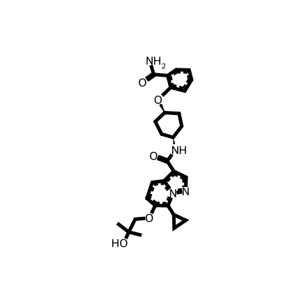 CC(C)(O)COc1ccc2c(C(=O)N[C@H]3CC[C@H](Oc4ccccc4C(N)=O)CC3)cnn2c1C1CC1